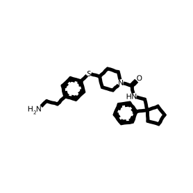 NCCc1ccc(SC2CCN(C(=O)NCC3(c4ccccc4)CCCC3)CC2)cc1